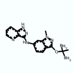 BC(B)(C)Oc1nn(C)c2cc(Nc3n[nH]c4cccnc34)ccc12